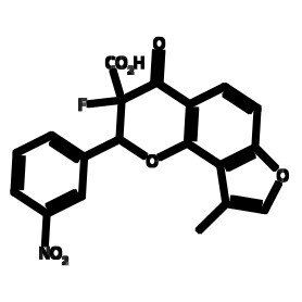 Cc1coc2ccc3c(c12)OC(c1cccc([N+](=O)[O-])c1)C(F)(C(=O)O)C3=O